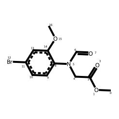 COC(=O)CN(C=O)c1ccc(Br)cc1OC